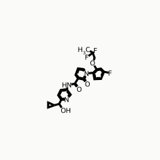 CC(F)(F)COc1cc(F)ccc1-n1cccc(C(=O)Nc2ccc(C(O)C3CC3)nc2)c1=O